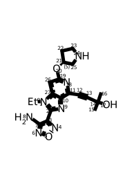 CCn1c(-c2nonc2N)nc2c(C#CC(C)(C)O)nc(O[C@H]3CCNC3)cc21